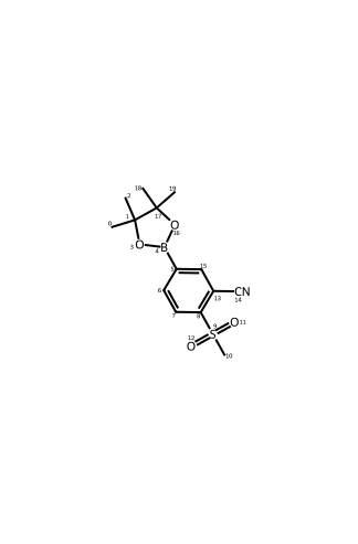 CC1(C)OB(c2ccc(S(C)(=O)=O)c(C#N)c2)OC1(C)C